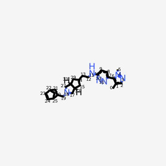 Cc1cnn(C)c1-c1ccc(NCCC2C[C@@H]3CN(CC4CC5C=CC4C5)C[C@@H]3C2)nn1